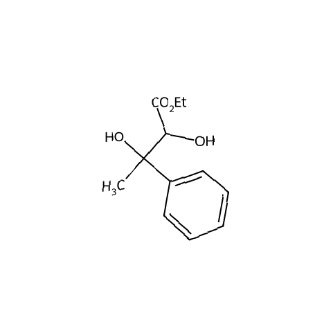 CCOC(=O)C(O)C(C)(O)c1ccccc1